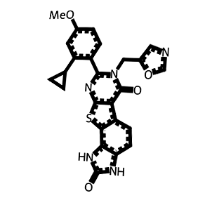 COc1ccc(-c2nc3sc4c(ccc5[nH]c(=O)[nH]c54)c3c(=O)n2Cc2cnco2)c(C2CC2)c1